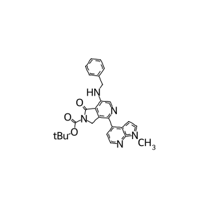 Cn1ccc2c(-c3ncc(NCc4ccccc4)c4c3CN(C(=O)OC(C)(C)C)C4=O)ccnc21